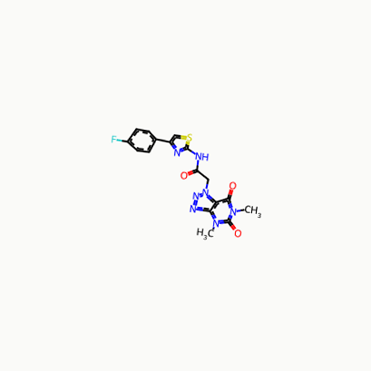 Cn1c(=O)c2c(nnn2CC(=O)Nc2nc(-c3ccc(F)cc3)cs2)n(C)c1=O